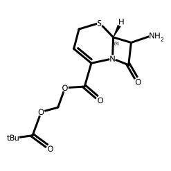 CC(C)(C)C(=O)OCOC(=O)C1=CCS[C@@H]2C(N)C(=O)N12